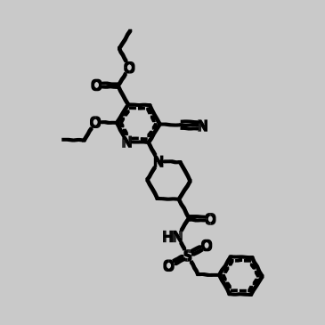 CCOC(=O)c1cc(C#N)c(N2CCC(C(=O)NS(=O)(=O)Cc3ccccc3)CC2)nc1OCC